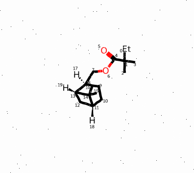 CCC(C)(C)C(=O)OC[C@H]1CC[C@@H]2C[C@H]1C2(C)C